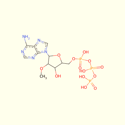 COC1C(O)C(COP(=O)(O)OP(=O)(O)OP(=O)(O)O)OC1n1cnc2c(N)ncnc21